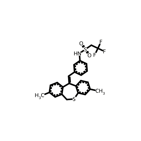 Cc1ccc2c(c1)CSc1cc(C)ccc1C2=Cc1cccc(NS(=O)(=O)CC(F)(F)F)c1